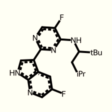 CC(C)CC(Nc1nc(-c2c[nH]c3ncc(F)cc23)ncc1F)C(C)(C)C